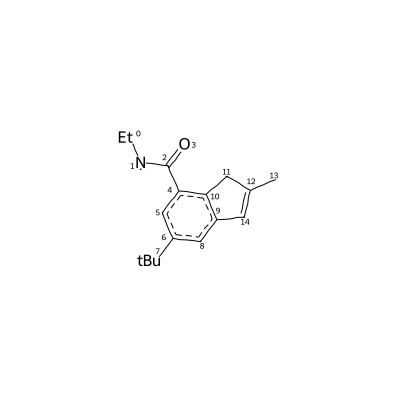 [CH2]C[N]C(=O)c1cc(C(C)(C)C)cc2c1CC(C)=C2